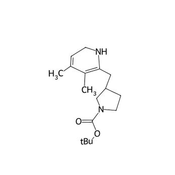 CC1=CCNC(CC2CCN(C(=O)OC(C)(C)C)C2)=C1C